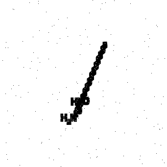 CCC=CCC=CCC=CCC=CCC=CCC=CCCC(=O)NCCOCCN